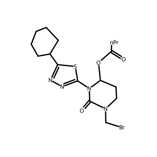 CCCC(=O)OC1CCN(CBr)C(=O)N1c1nnc(C2CCCCC2)s1